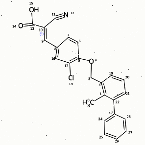 Cc1c(COc2ccc(/C=C(\C#N)C(=O)O)cc2Cl)cccc1-c1ccccc1